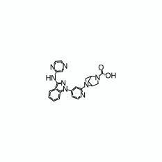 O=C(O)N1CC2CC1CN2c1cc(-n2nc(Nc3cnccn3)c3ccccc32)ccn1